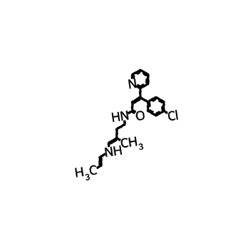 CC=CN/C=C(\C)CCNC(=O)/C=C(\c1ccc(Cl)cc1)c1ccccn1